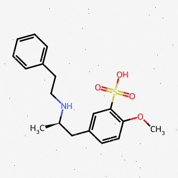 COc1ccc(C[C@@H](C)NCCc2ccccc2)cc1S(=O)(=O)O